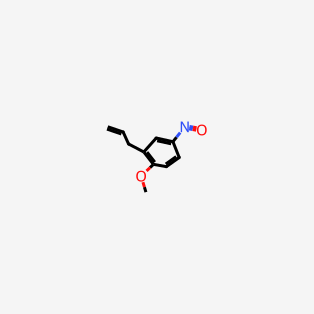 C=CCc1cc(N=O)ccc1OC